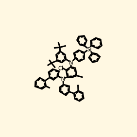 Cc1cc(N(c2cccc(-c3ccccc3C)c2)c2cccc(-c3ccccc3C)c2)c(Cl)c(N(c2ccc([Si](c3ccccc3)(c3ccccc3)c3ccccc3)cc2)c2cc(C(C)(C)C)cc(C(C)(C)C)c2)c1